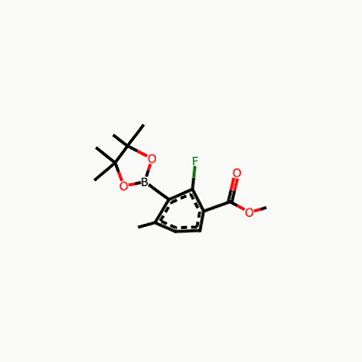 COC(=O)c1ccc(C)c(B2OC(C)(C)C(C)(C)O2)c1F